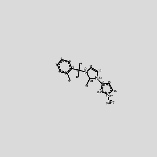 Cc1ccccc1C(C)(C)N1C=CN(c2ccn(C(C)C)n2)C1C